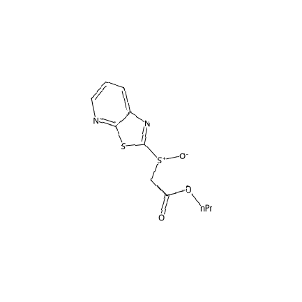 CCCOC(=O)C[S+]([O-])c1nc2cccnc2s1